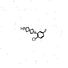 Fc1ccc(Cl)c(N2CC3(CNC3)C2)c1